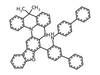 CC1(C)c2ccccc2N2c3cc4c(oc5ccccc54)c(-c4ccc(-c5ccccc5)cc4Nc4ccc(-c5ccccc5)cc4)c3Bc3cccc1c32